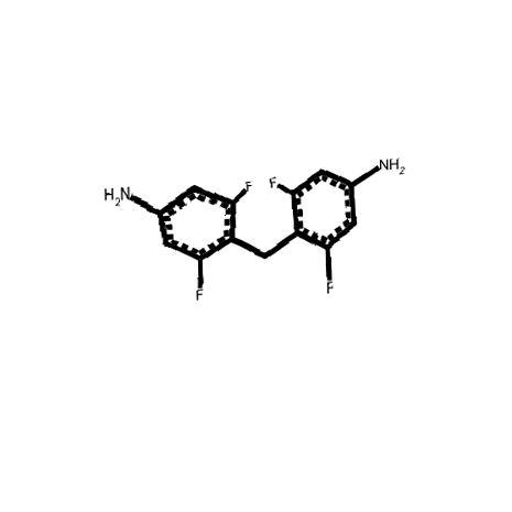 Nc1cc(F)c(Cc2c(F)cc(N)cc2F)c(F)c1